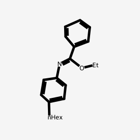 CCCCCCc1ccc(N=C(OCC)c2ccccc2)cc1